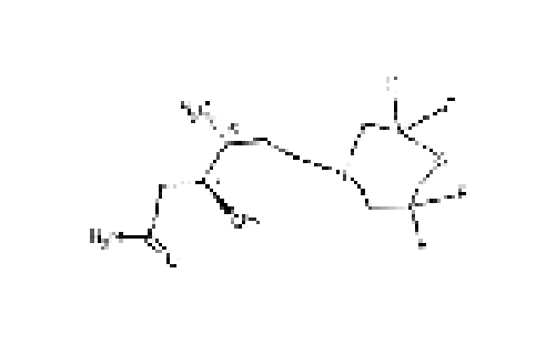 C[C@H](CCN1CC(F)(F)OC(F)(F)C1)[C@@H](O)CC(N)=O